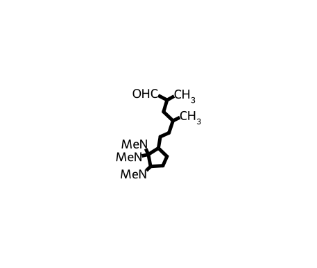 CNC1CCC(CCC(C)CC(C)C=O)C1(NC)NC